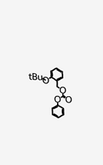 CC(C)(C)Oc1ccccc1COC(=O)Oc1ccccc1